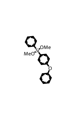 CO[Si](OC)(c1ccccc1)c1ccc(Oc2ccccc2)cc1